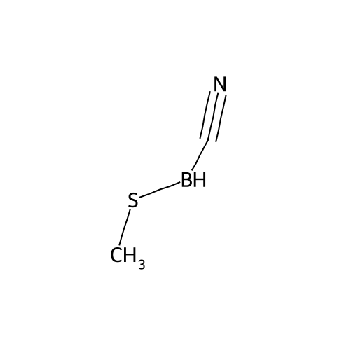 CSBC#N